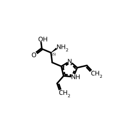 C=Cc1nc(C[C@H](N)C(=O)O)c(C=C)[nH]1